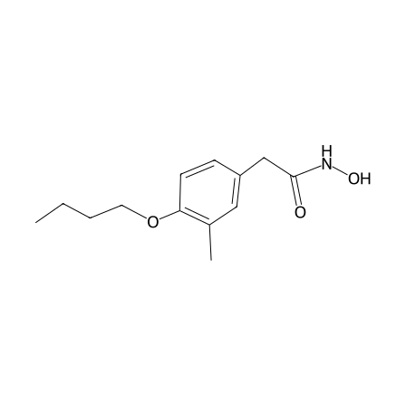 CCCCOc1ccc(CC(=O)NO)cc1C